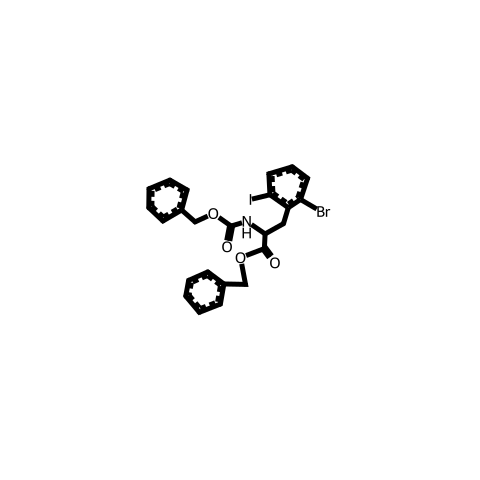 O=C(NC(Cc1c(Br)cccc1I)C(=O)OCc1ccccc1)OCc1ccccc1